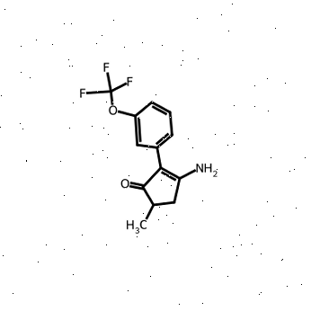 CC1CC(N)=C(c2cccc(OC(F)(F)F)c2)C1=O